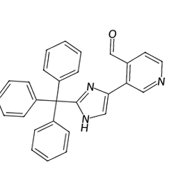 O=Cc1ccncc1-c1c[nH]c(C(c2ccccc2)(c2ccccc2)c2ccccc2)n1